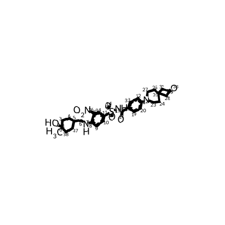 CC1(O)CCC(CNc2ccc(S(=O)(=O)NC(=O)c3ccc(N4CCC5(CC4)CC(=O)C5)cc3)cc2[N+](=O)[O-])CC1